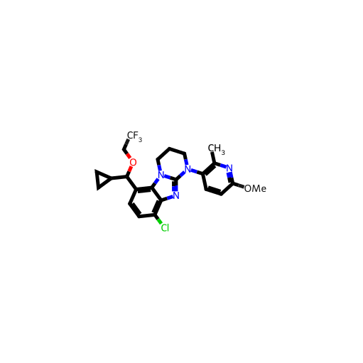 COc1ccc(N2CCCn3c2nc2c(Cl)ccc(C(OCC(F)(F)F)C4CC4)c23)c(C)n1